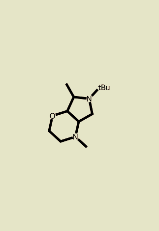 CC1C2OCCN(C)C2CN1C(C)(C)C